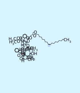 CCCCCCCC/C=C\CCCCCCCC1OCC(COC(=O)O[C@@H](C(=O)O[C@H]2C[C@@]3(O)[C@@H](OC(=O)c4ccccc4)[C@@H]4[C@]5(OC(C)=O)CO[C@@H]5C[C@H](O)[C@@]4(C)C(=O)[C@H](O)C(=C2C)C3(C)C)[C@@H](NC(=O)OC(C)(C)C)c2ccccc2)O1